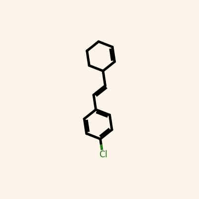 Clc1ccc(/C=C/C2C=CCCC2)cc1